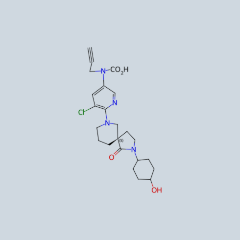 C#CCN(C(=O)O)c1cnc(N2CCC[C@]3(CCN(C4CCC(O)CC4)C3=O)C2)c(Cl)c1